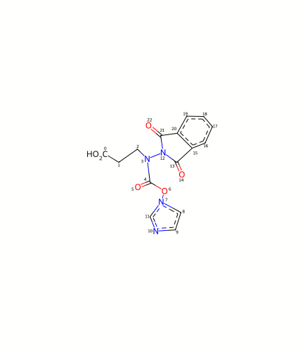 O=C(O)CCN(C(=O)On1ccnc1)N1C(=O)c2ccccc2C1=O